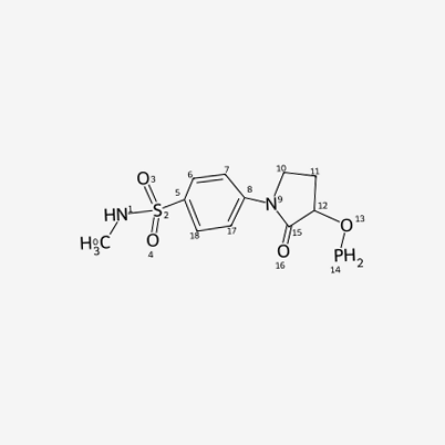 CNS(=O)(=O)c1ccc(N2CCC(OP)C2=O)cc1